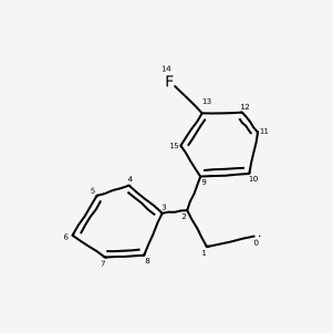 [CH2]CC(c1ccccc1)c1cccc(F)c1